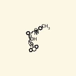 Cc1ccc(-c2nnc(C=Cc3ccccc3OCC(O)CN3CCN(C4c5ccccc5CCc5ccccc54)CC3)o2)cc1